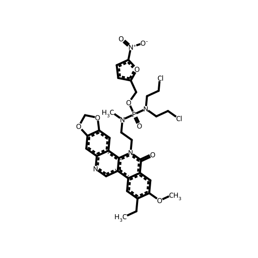 CCc1cc2c(cc1OC)c(=O)n(CCN(C)P(=O)(OCc1ccc([N+](=O)[O-])o1)N(CCCl)CCCl)c1c3cc4c(cc3ncc21)OCO4